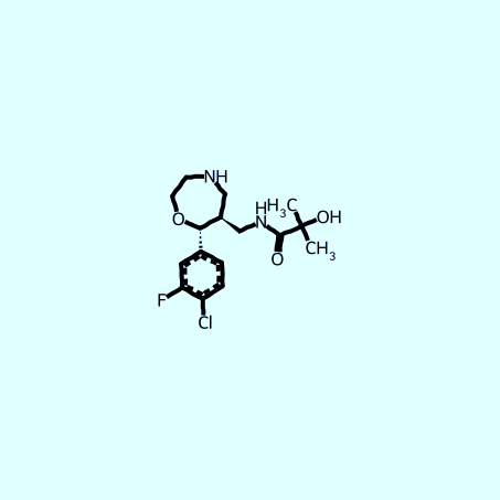 CC(C)(O)C(=O)NC[C@@H]1CNCCO[C@H]1c1ccc(Cl)c(F)c1